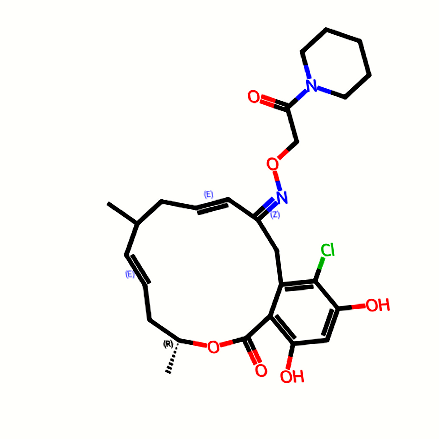 CC1/C=C/C[C@@H](C)OC(=O)c2c(O)cc(O)c(Cl)c2CC(=N/OCC(=O)N2CCCCC2)/C=C/C1